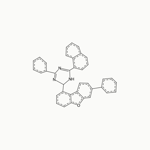 c1ccc(C2=NC(c3cccc4oc5cc(-c6ccccc6)ccc5c34)NC(c3cccc4ccccc34)=N2)cc1